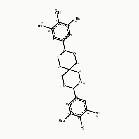 CC(C)(C)c1cc(C2OCC3(CO2)COC(c2cc(C(C)(C)C)c(O)c(C(C)(C)C)c2)OC3)cc(C(C)(C)C)c1O